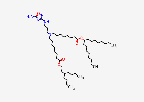 CCCCCCCCC(CCCCCCCC)OC(=O)CCCCCCCN(CCCCCCCC(=O)OCCC(CCCC)CCCC)CCCNc1noc(N)n1